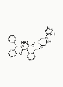 COC(=O)N(C(=O)[C@@H](N)C(c1ccccc1)c1ccccc1)c1ccccc1CC[C@@H]1CN[C@H](c2cnn[nH]2)CO1